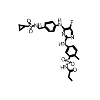 CCC(=O)NS(=O)(=O)c1cc(Nc2ncc(F)c(Nc3ccc(CNS(=O)(=O)C4CC4)cc3)n2)ccc1C